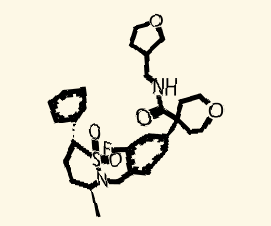 C[C@H]1CC[C@H](c2ccccc2)S(=O)(=O)N1Cc1ccc(C2(C(=O)NCC3CCOC3)CCOCC2)cc1F